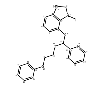 CN1CNc2cccc(SC(OCCSc3ccccc3)c3ccccn3)c21